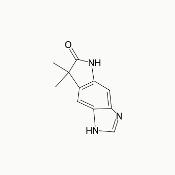 CC1(C)C(=O)Nc2cc3nc[nH]c3cc21